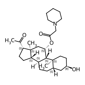 CC(=O)[C@H]1CC[C@H]2[C@@H]3CC[C@H]4C[C@H](O)CC[C@]4(C)[C@H]3[C@@H](OC(=O)CN3CCCCC3)C[C@]12C